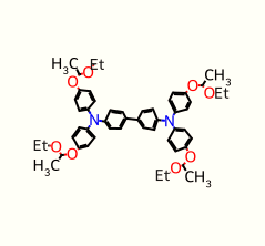 CCOC(C)Oc1ccc(N(c2ccc(OC(C)OCC)cc2)c2ccc(-c3ccc(N(c4ccc(OC(C)OCC)cc4)c4ccc(OC(C)OCC)cc4)cc3)cc2)cc1